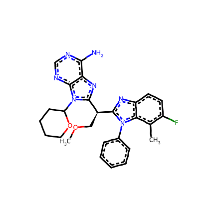 COC[C@H](c1nc2ccc(F)c(C)c2n1-c1ccccc1)c1nc2c(N)ncnc2n1C1CCCCO1